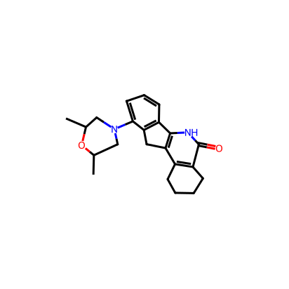 CC1CN(c2cccc3c2Cc2c-3[nH]c(=O)c3c2CCCC3)CC(C)O1